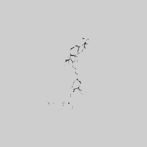 C=C(O)COc1ccc(SCCCc2sc3cc(C(F)(F)F)ccc3c2CC)cc1CC